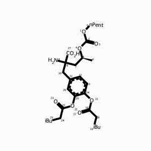 CCCCCOC(=O)O[C@@H](C)CC(N)(Cc1ccc(OC(=O)CC(C)CC)c(OC(=O)CC(C)CC)c1)C(=O)O